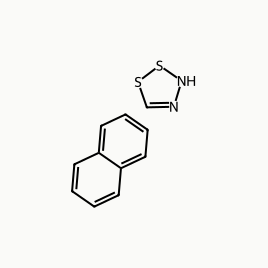 C1=NNSS1.c1ccc2ccccc2c1